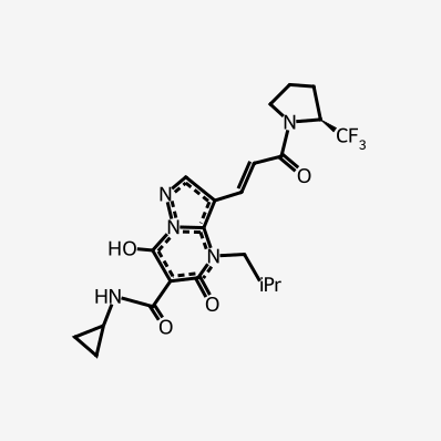 CC(C)Cn1c(=O)c(C(=O)NC2CC2)c(O)n2ncc(/C=C/C(=O)N3CCC[C@H]3C(F)(F)F)c12